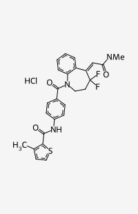 CNC(=O)C=C1c2ccccc2N(C(=O)c2ccc(NC(=O)c3sccc3C)cc2)CCC1(F)F.Cl